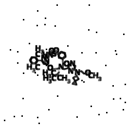 COCCN(c1cncc(CN2C(=O)c3cccc(c3)S(=O)(=O)Nc3nc(cc(-c4c(C)cccc4C)n3)OC[C@H]2CC(C)(C)C)n1)C1CC2(CC2)C1